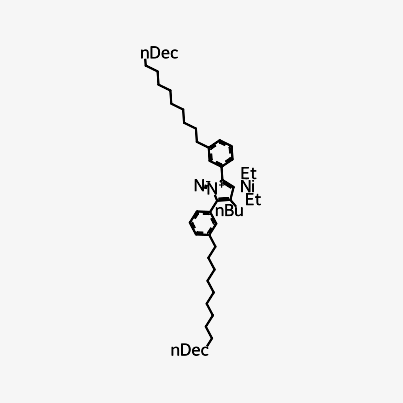 CCCCCCCCCCCCCCCCCCCc1cccc(C2=CC(CCCC)=C(c3cccc(CCCCCCCCCCCCCCCCCCC)c3)[N+]2=[N-])c1.C[CH2][Ni][CH2]C